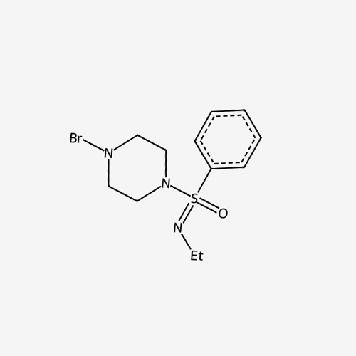 CCN=S(=O)(c1ccccc1)N1CCN(Br)CC1